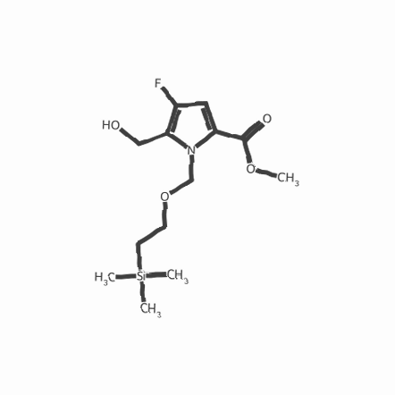 COC(=O)c1cc(F)c(CO)n1COCC[Si](C)(C)C